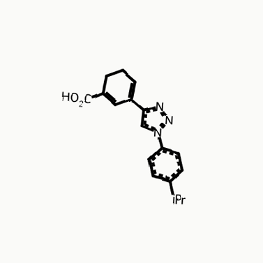 CC(C)c1ccc(-n2cc(C3=CCCC(C(=O)O)=C3)nn2)cc1